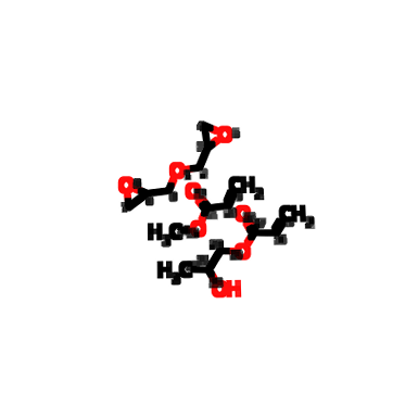 C(OCC1CO1)C1CO1.C=CC(=O)OC.C=CC(=O)OCC(C)O